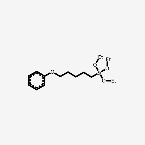 CCO[Si](CCCCCOc1ccccc1)(OCC)OCC